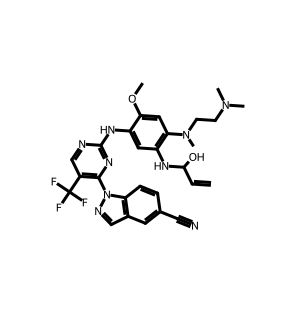 C=CC(O)Nc1cc(Nc2ncc(C(F)(F)F)c(-n3ncc4cc(C#N)ccc43)n2)c(OC)cc1N(C)CCN(C)C